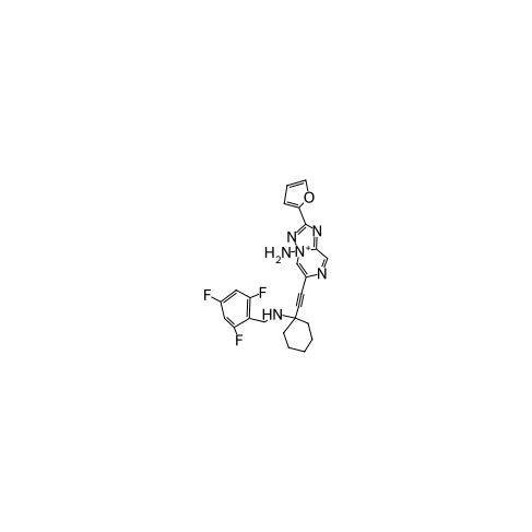 N[N+]12C=C(C#CC3(NCc4c(F)cc(F)cc4F)CCCCC3)N=CC1=NC(c1ccco1)=N2